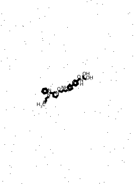 COCCCn1c(C2CCCN(C(=O)CC(N)Cc3ccc(-c4ccc(C(=O)NC(CO)CO)cc4)cc3)C2)nc2ccccc21